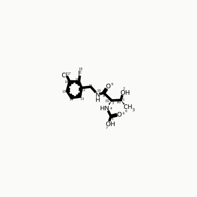 C[C@@H](O)[C@H](NC(=O)O)C(=O)NCc1cccc(Cl)c1F